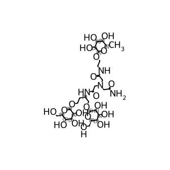 C[C@@H]1O[C@@H](OCCNC(=O)CN(CC(N)=O)CC(=O)N[C@H](CCO[C@H]2O[C@H](CO)[C@@H](O)[C@H](O)[C@@H]2O)CO[C@H]2O[C@H](CO)[C@@H](O)[C@H](O)[C@@H]2O)[C@@H](O)[C@H](O)[C@@H]1O